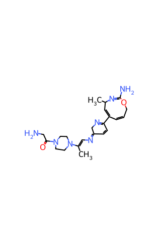 C/C(=C\N=C1\C=CC(C2=C/C(C)/N=C(/N)OC/C=C\2)=NC1)N1CCN(C(=O)CN)CC1